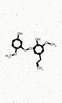 C=CCc1ccc(O)c(OC)c1.COc1ccc(O)cc1OC